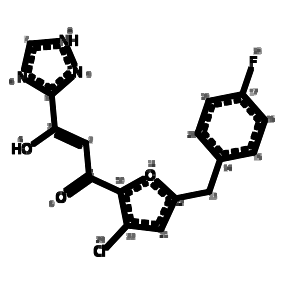 O=C(C=C(O)c1nc[nH]n1)c1oc(Cc2ccc(F)cc2)cc1Cl